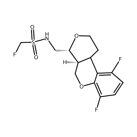 O=S(=O)(CF)NC[C@@H]1OCCC2c3c(F)ccc(F)c3OC[C@H]21